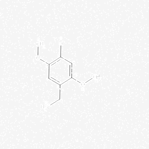 C[CH]c1cc(OC)c(Br)cc1OC